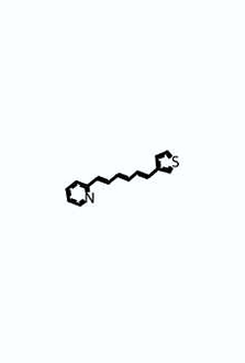 C(=C\C=C\c1ccccn1)/C=C/c1ccsc1